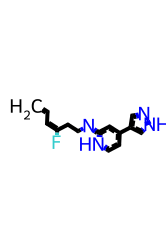 C=C/C=C(/F)CC/N=c1/cc(-c2cn[nH]c2)cc[nH]1